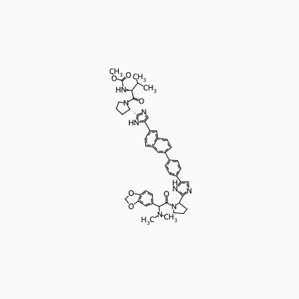 COC(=O)N[C@H](C(=O)N1CCC[C@H]1c1ncc(-c2ccc3cc(-c4ccc(-c5cnc(C6CCCN6C(=O)C(c6ccc7c(c6)OCO7)N(C)C)[nH]5)cc4)ccc3c2)[nH]1)C(C)C